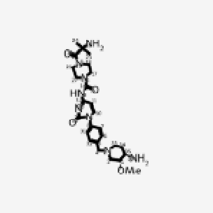 CO[C@@H]1CN(Cc2ccc(-n3ccc(NC(=O)N4CCN(C(=O)C(C)(C)N)CC4)nc3=O)cc2)CC[C@H]1N